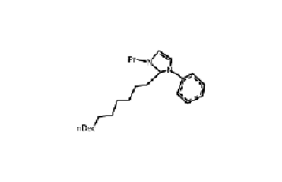 CCCCCCCCCCCCCCCCC1N(c2ccccc2)C=CN1C(C)C